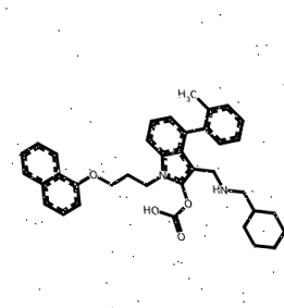 Cc1ccccc1-c1cccc2c1c(CNCC1CCCCC1)c(OC(=O)O)n2CCCOc1cccc2ccccc12